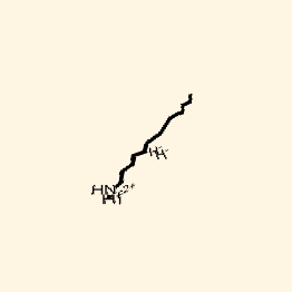 CCCCCCCCCCCC[NH][Hf+2].[H-].[H-]